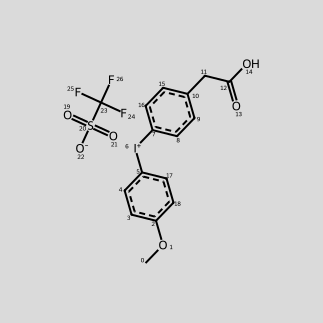 COc1ccc([I+]c2ccc(CC(=O)O)cc2)cc1.O=S(=O)([O-])C(F)(F)F